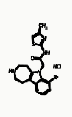 Cc1csc(NC(=O)Cn2c3c(c4cccc(Br)c42)CCNCC3)n1.Cl